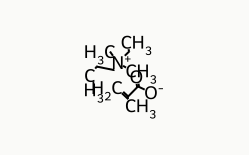 C=C(C)C(=O)[O-].CCC[N+](C)(C)CC